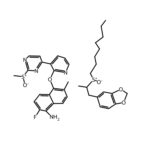 CCCCCCCC[S+]([O-])C(C)Cc1ccc2c(c1)OCO2.Cc1ccc2c(N)c(F)ccc2c1Oc1ncccc1-c1ccnc([S+](C)[O-])n1